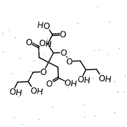 O=C(O)CC(OOCC(O)CO)C(CC(=O)O)(CC(=O)O)OCC(O)CO